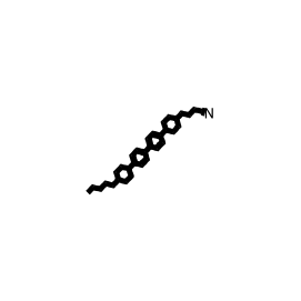 CCCCCC1CCC(c2ccc(-c3ccc(C4CCC(CCCC#N)CC4)cc3)cc2)CC1